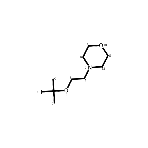 CC(C)(I)OCCN1CCOCC1